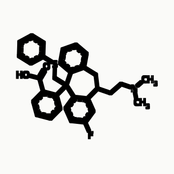 CN(C)CCC1Cc2ccccc2C(CSc2ccccc2)(c2ccccc2C(=O)O)c2ccc(F)cc21